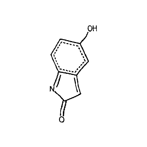 O=C1C=c2cc(O)ccc2=N1